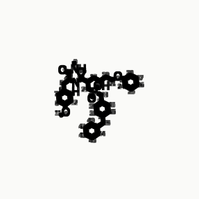 CNC(=O)C(Cc1ccc(OC)cc1)NC(=O)C(CCCCOc1ccccc1)CP(=O)(O)Cc1ccc(Cc2ccccc2)cc1